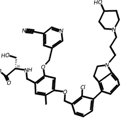 Cc1cc(CN[C@@H](CO)C(=O)O)c(OCc2cncc(C#N)c2)cc1OCc1cccc(-c2cccc3c2CCN3CCCN2CCC(O)CC2)c1Cl